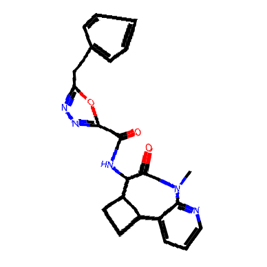 CN1C(=O)C(NC(=O)c2nnc(Cc3ccccc3)o2)C2CCC2c2cccnc21